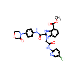 COC(=O)c1cccc2c1nc(C(=O)Nc1ccc(N3CCOCC3=O)cc1)n2CC(=O)Nc1ccc(Cl)cn1